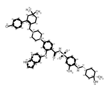 Cc1cc(S(=O)(=O)NC(=O)c2ccc(N3CCN(CC4=C(c5ccc(Cl)cc5)CC(C)(C)CC4)CC3)cc2Oc2cnc3[nH]ccc3c2)ccc1NC[C@H]1CC[C@](C)(O)CC1